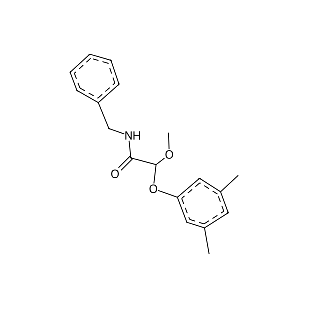 COC(Oc1cc(C)cc(C)c1)C(=O)NCc1ccccc1